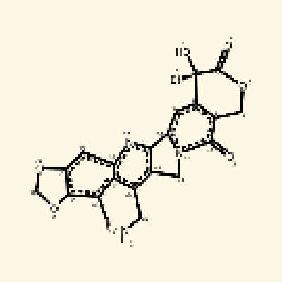 CC[C@@]1(O)C(=O)OCc2c1cc1n(c2=O)Cc2c-1nc1cc3c(c(F)c1c2CN)OCO3